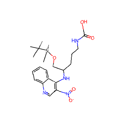 CC(C)(C)[Si](C)(C)OCC(CCCNC(=O)O)Nc1c([N+](=O)[O-])cnc2ccccc12